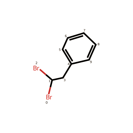 BrC(Br)Cc1ccccc1